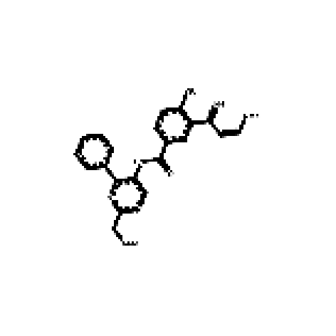 CN/C=C\C(=N)c1cc(C(=O)Nc2cnc(CNC)nc2-c2ccccc2)ccc1C(F)(F)F